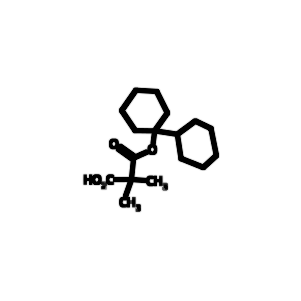 CC(C)(C(=O)O)C(=O)OC1(C2CCCCC2)CCCCC1